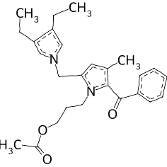 CCc1cn(Cc2cc(C)c(C(=O)c3ccccc3)n2CCCOC(C)=O)cc1CC